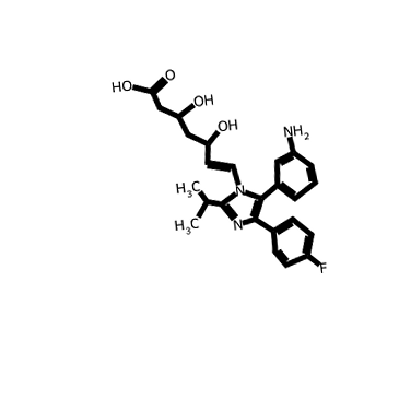 CC(C)c1nc(-c2ccc(F)cc2)c(-c2cccc(N)c2)n1/C=C/C(O)CC(O)CC(=O)O